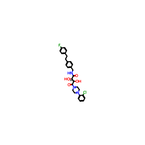 O=C(NCc1ccc(CCc2ccc(F)cc2)cc1)[C@H](O)[C@@H](O)C(=O)N1CCN(c2ccccc2Cl)CC1